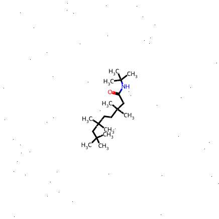 CC(C)(C)CC(C)(C)CCC(C)(C)CC(=O)NC(C)(C)C